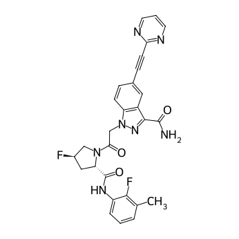 Cc1cccc(NC(=O)[C@@H]2C[C@@H](F)CN2C(=O)Cn2nc(C(N)=O)c3cc(C#Cc4ncccn4)ccc32)c1F